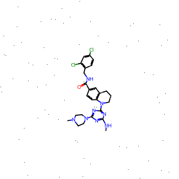 CNc1nc(N2CCN(C)CC2)nc(N2CCCc3cc(C(=O)NCc4ccc(Cl)cc4Cl)ccc32)n1